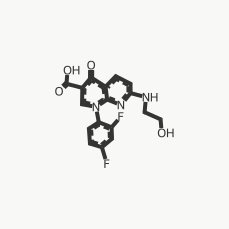 O=C(O)c1cn(-c2ccc(F)cc2F)c2nc(NCCO)ccc2c1=O